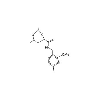 COc1nc(C)cnc1CNC(=O)C1CC(C)OC(C)C1